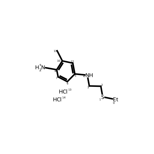 CCSCCNc1ccc(N)c(C)c1.Cl.Cl